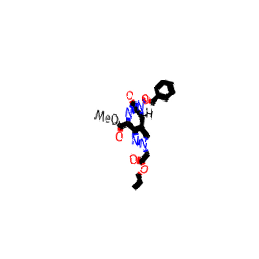 C=CCOC(=O)Cn1cc2c(n1)C(C(=O)OC)N1C[C@H]2N(OCc2ccccc2)C1=O